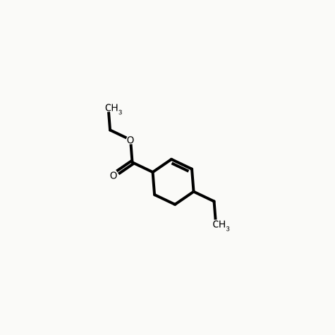 CCOC(=O)C1C=CC(CC)CC1